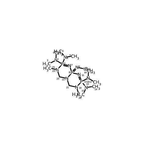 CN(C)P1(N(C)C)=NP2(=NC(C)(C)C)N=P(N(C)C)(N(C)C)N(C)CN2CN1C